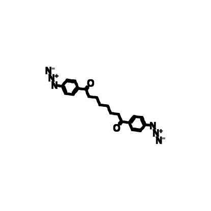 [N-]=[N+]=Nc1ccc(C(=O)CCCCCCC(=O)c2ccc(N=[N+]=[N-])cc2)cc1